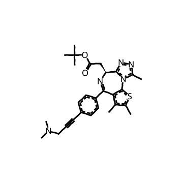 Cc1sc2c(c1C)C(c1ccc(C#CCN(C)C)cc1)=N[C@@H](CC(=O)OC(C)(C)C)c1nnc(C)n1-2